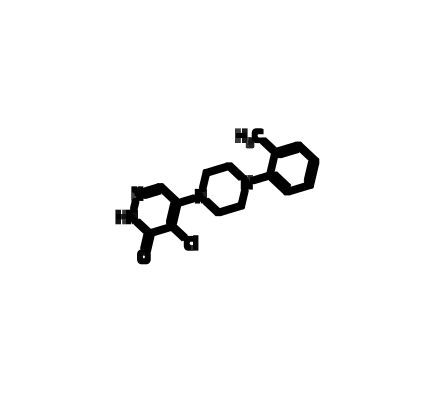 Cc1ccccc1N1CCN(c2cn[nH]c(=O)c2Cl)CC1